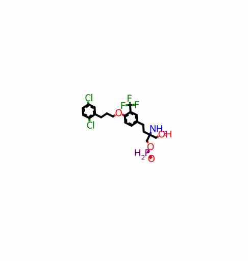 NC(CO)(CCc1ccc(OCCCc2cc(Cl)ccc2Cl)c(C(F)(F)F)c1)CO[PH2]=O